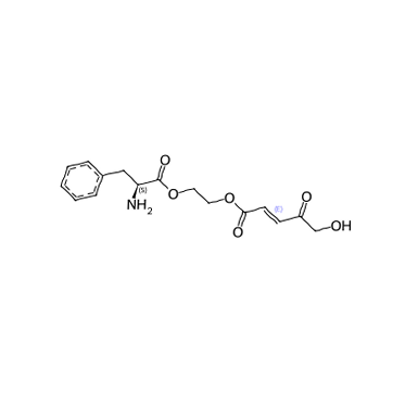 N[C@@H](Cc1ccccc1)C(=O)OCCOC(=O)/C=C/C(=O)CO